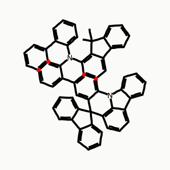 CC1(C)c2ccccc2-c2cccc(N(c3ccccc3-c3ccccc3)c3ccccc3-c3ccc4c(c3)C3(c5ccccc5-c5ccccc53)c3cccc5c6ccccc6n-4c35)c21